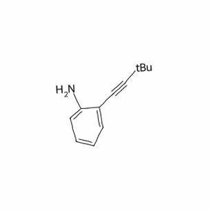 CC(C)(C)C#Cc1ccccc1N